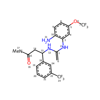 C=C(Nc1cc(OC(F)(F)F)ccc1N)NC(CC(=O)NC)c1cccc(C(F)(F)F)c1